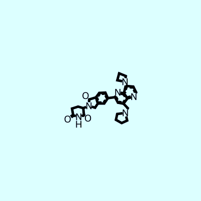 O=C1CCC(N2Cc3cc(-c4cc(CN5CCCC5)c5nccc(N6CCC6)c5n4)ccc3C2=O)C(=O)N1